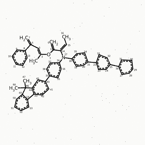 C=C(O/C(C)=C/C(=C)c1ccccc1)/C(=C\C)N(c1ccc(-c2ccc(-c3ccccc3)cc2)cc1)c1ccc(-c2ccc3c(c2)C(C)(C)c2ccccc2-3)cc1